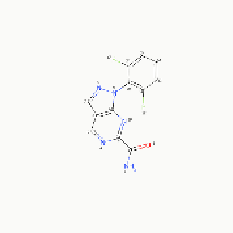 NC(=O)c1ncc2cnn(-c3c(F)cccc3F)c2n1